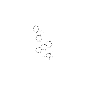 Cc1noc(C)c1-c1c2ccccc2c(-c2ccc3c(c2)oc2ccccc23)c2ccccc12